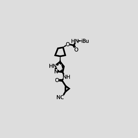 CC[C@H](C)NC(=O)O[C@@H]1CC[C@H](c2cc(NC(=O)C3CC3C#N)n[nH]2)C1